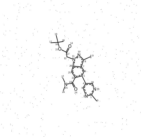 Cc1ncc(-c2cc3c(I)nn(CC(=O)OC(C)(C)C)c3cc2C(=O)N(C)C)cn1